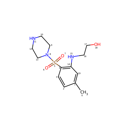 Cc1ccc(S(=O)(=O)N2CCNCC2)c(NCCO)c1